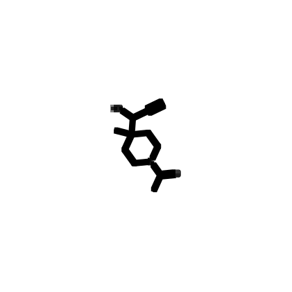 C#CC(O)C1(C)CCN(C(C)=O)CC1